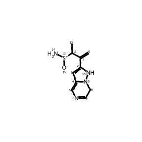 C=C(C1=CC2=CN=CCN2N1)C(C)[S+](N)[O-]